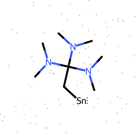 CN(C)C([CH2][Sn])(N(C)C)N(C)C